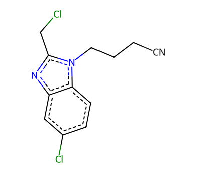 N#CCCCn1c(CCl)nc2cc(Cl)ccc21